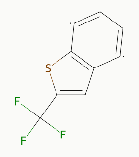 FC(F)(F)c1cc2[c]cc[c]c2s1